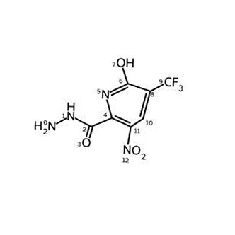 NNC(=O)c1nc(O)c(C(F)(F)F)cc1[N+](=O)[O-]